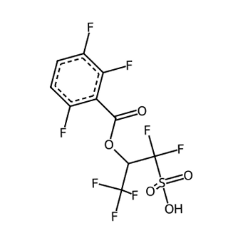 O=C(OC(C(F)(F)F)C(F)(F)S(=O)(=O)O)c1c(F)ccc(F)c1F